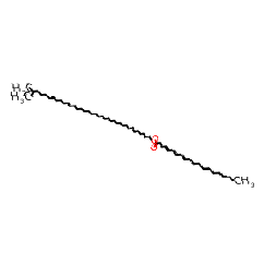 CCCCCCC=CCCCCCCCCCCCC(=O)OCCCCCCCCCCCCCCCCCCCCCCCCCCCCCCCCCCCCC(C)CC